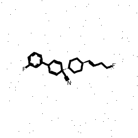 N#CC1([C@H]2CC[C@H](/C=C/CCF)CC2)C=CC(c2cccc(F)c2)C=C1